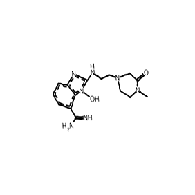 CN1CCN(CCNc2nc3cccc(C(=N)N)c3n2O)CC1=O